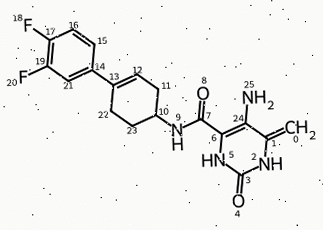 C=C1NC(=O)NC(C(=O)NC2CC=C(c3ccc(F)c(F)c3)CC2)=C1N